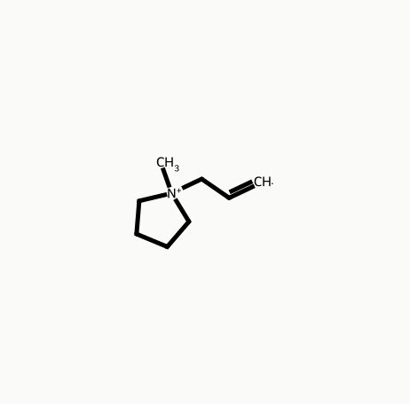 [CH]=CC[N+]1(C)CCCC1